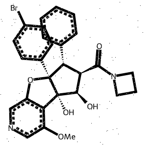 COc1cncc2c1[C@]1(O)[C@H](O)[C@H](C(=O)N3CCC3)[C@@H](c3ccccc3)[C@]1(c1ccc(Br)cc1)O2